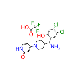 NC(c1cc(Cl)c(Cl)cc1O)C1CCN(c2cc[nH]c(=O)c2)CC1.O=C(O)C(F)(F)F